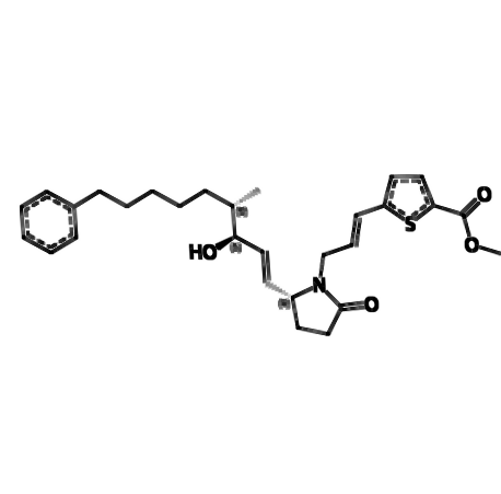 COC(=O)c1ccc(C=CCN2C(=O)CC[C@@H]2C=C[C@@H](O)[C@@H](C)CCCCCc2ccccc2)s1